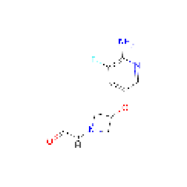 Nc1ncc(OC2CN(BC=O)C2)cc1F